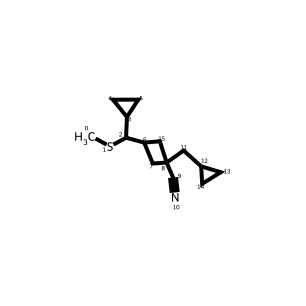 CSC(C1CC1)C1CC(C#N)(CC2CC2)C1